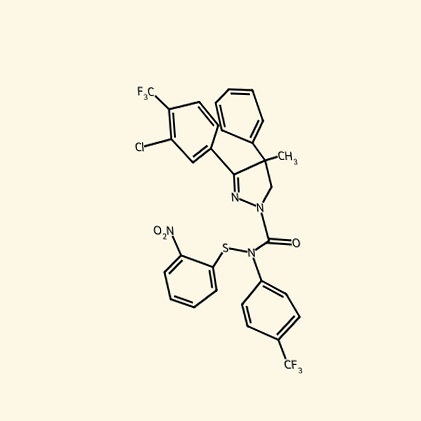 CC1(c2ccccc2)CN(C(=O)N(Sc2ccccc2[N+](=O)[O-])c2ccc(C(F)(F)F)cc2)N=C1c1ccc(C(F)(F)F)c(Cl)c1